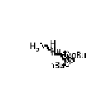 CCCCO[Si](CCCNCCN)(OCCCC)OCCCC